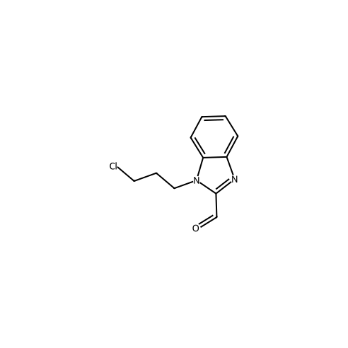 O=Cc1nc2ccccc2n1CCCCl